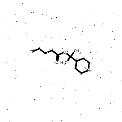 CC(C)(OC(=O)CCCCl)C1CCNCC1